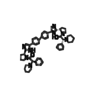 O=C([C@@H](c1ccccc1)N1CCCCC1)N1CCC[C@H]1c1ncc(-c2ccc(-c3ccc(-c4cnc([C@@H]5CCCN5C(=O)[C@@H](c5ccccc5)N5CCCCC5)[nH]4)cc3)cc2)[nH]1